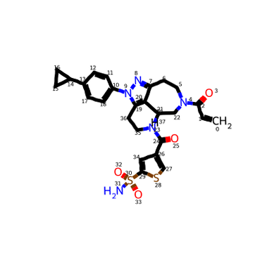 C=CC(=O)N1CCc2nn(-c3ccc(C4CC4)cc3)c3c2[C@H](C1)N(C(=O)c1csc(S(N)(=O)=O)c1)CC3